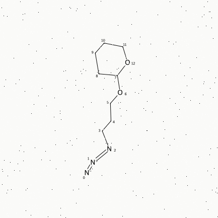 [N-]=[N+]=NCCCOC1CCCCO1